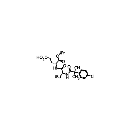 CC(C)OC(=O)[C@@H](CCC(=O)O)NC(=O)[C@@H](NC(=O)C(C)(C)c1ccc(Cl)cc1)C(C)(C)C